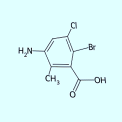 Cc1c(N)cc(Cl)c(Br)c1C(=O)O